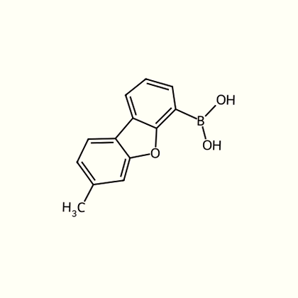 Cc1ccc2c(c1)oc1c(B(O)O)cccc12